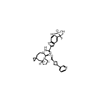 O=C(N[C@H]1CCC2(CC2)C[C@H]2CC[C@@H](C(=O)N3CC(c4cccnc4)C3)N2C1=O)c1cc2cc(C(F)(F)P(=O)(O)O)ccc2s1